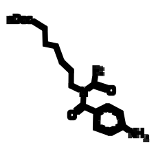 CCCCCCCCCCCCCCCCN(C(=O)CC)C(=O)c1ccc(N)cc1